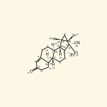 CC[C@]12CC[C@H]3[C@@H](CCC4=CC(=O)CC[C@@H]43)[C@@H]1[C@@H]1C[C@@H]1[C@@]2(C#N)CC